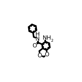 Nc1ccc2c(c1C(=O)NCc1ccccc1)COCO2